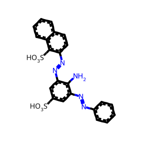 Nc1c(N=Nc2ccccc2)cc(S(=O)(=O)O)cc1N=Nc1ccc2ccccc2c1S(=O)(=O)O